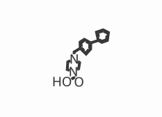 O=C(O)N1CCN(Cc2ccc(-c3ccccc3)cc2)CC1